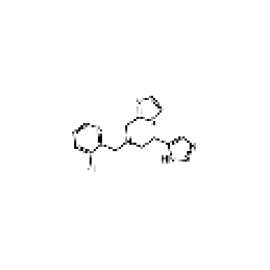 Clc1cccnc1CN(CCc1cnc[nH]1)Cc1nccs1